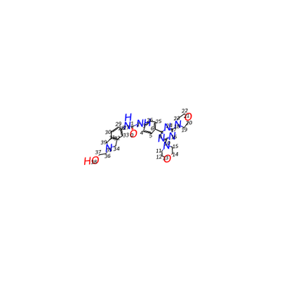 O=C(Nc1ccc(-c2nc(N3CCOCC3)nc(N3CCOCC3)n2)cc1)Nc1ccc2c(c1)CN(CCO)C2